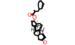 CC(CC1CCCCC1)C(=O)O[C@H]1CC[C@H]2[C@@H]3CCC4CC(=O)CC[C@]4(C)[C@H]3CC[C@]12C